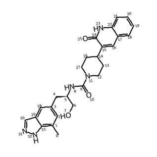 Cc1cc(C[C@H](CO)NC(=O)N2CCC(c3cc4ccccc4[nH]c3=O)CC2)cc2cn[nH]c12